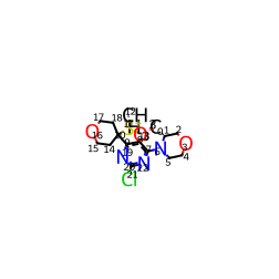 C[C@@H]1COCCN1c1cc(C2([S@+](C)[O-])CCOCC2)nc(Cl)n1